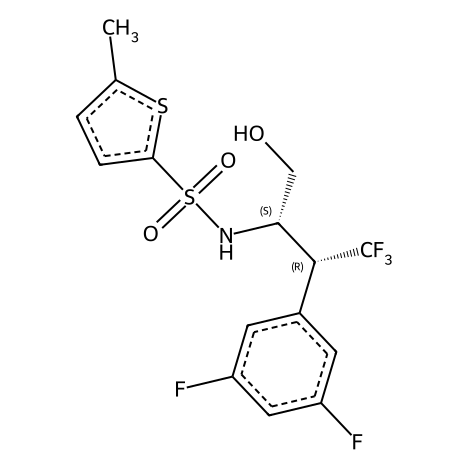 Cc1ccc(S(=O)(=O)N[C@H](CO)[C@@H](c2cc(F)cc(F)c2)C(F)(F)F)s1